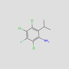 CC(C)c1c(N)c(Cl)c(F)c(Cl)c1Cl